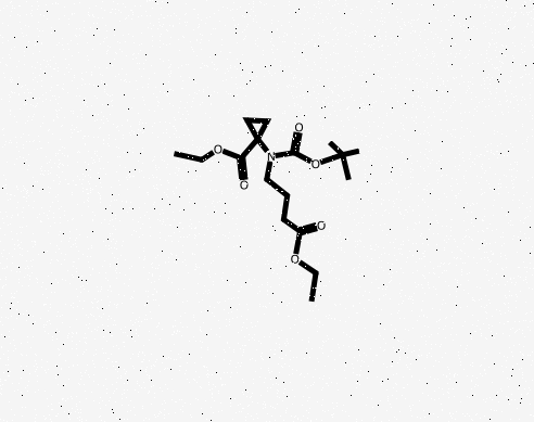 CCOC(=O)CCCN(C(=O)OC(C)(C)C)C1(C(=O)OCC)CC1